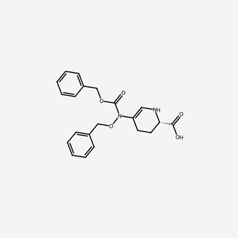 O=C(O)[C@@H]1CCC(N(OCc2ccccc2)C(=O)OCc2ccccc2)=CN1